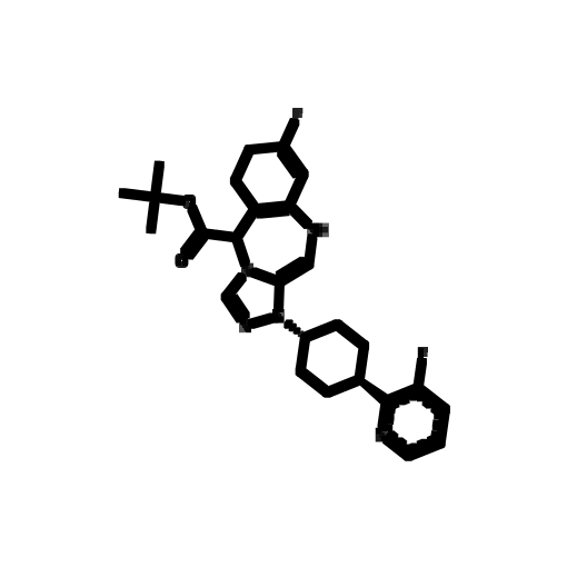 CC(C)(C)OC(=O)C1C2=C(C=C(F)CC2)NC=C2N1C=NN2[C@H]1CC[C@H](c2ncccc2F)CC1